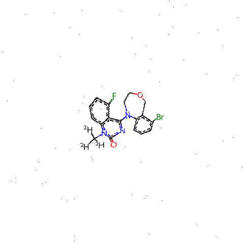 [2H]C([2H])([2H])n1c(=O)nc(N2CCOCc3c(Br)cccc32)c2c(F)cccc21